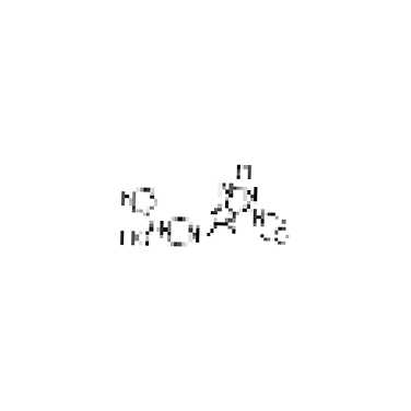 OC(c1cccnc1)N1CCN(Cc2cc3nc(Cl)nc(N4CCOCC4)c3s2)CC1